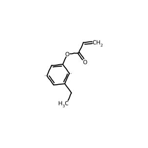 C=CC(=O)Oc1[c]c(CC)c[c]c1